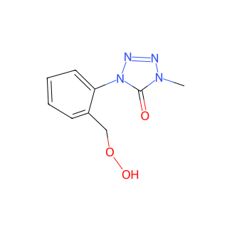 Cn1nnn(-c2ccccc2COO)c1=O